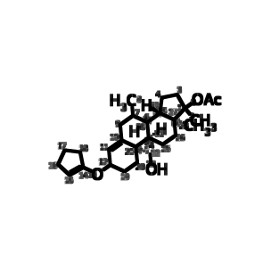 CC(=O)OC1(C)CC[C@H]2[C@@H]3C(C)CC4=CC(OC5=CCCC5)CC[C@]4(CO)[C@@H]3CC[C@@]21C